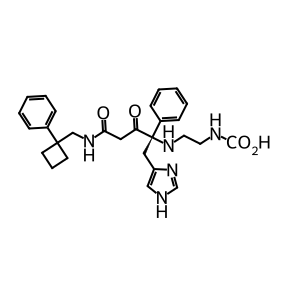 O=C(O)NCCN[C@](Cc1c[nH]cn1)(C(=O)CC(=O)NCC1(c2ccccc2)CCC1)c1ccccc1